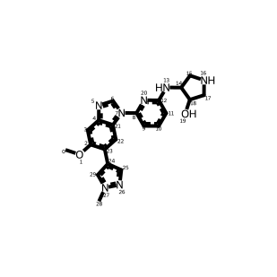 COc1cc2ncn(-c3cccc(NC4CNCC4O)n3)c2cc1-c1cnn(C)c1